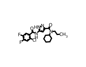 CCCN(C(=O)c1cc(NC(=O)c2cc(F)c(F)cc2Cl)[nH]n1)C1CCCCC1